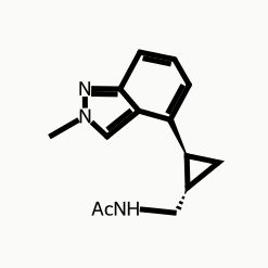 CC(=O)NC[C@H]1C[C@@H]1c1cccc2nn(C)cc12